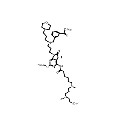 CCCCCCCCCCCCN(CC)CCCN(C)CCCCCC(=O)Nc1nc(OCCCC)nc2c1[nH]c(=O)n2CCCN(CCCN1CCOCC1)Cc1cccc(C(=O)OC)c1